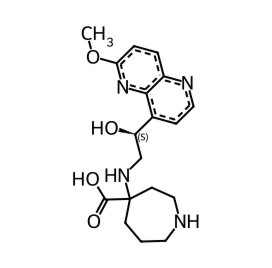 COc1ccc2nccc([C@H](O)CNC3(C(=O)O)CCCNCC3)c2n1